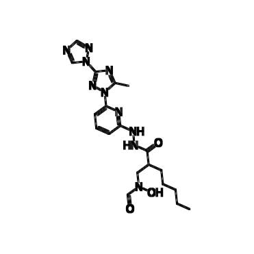 CCCCCC(CN(O)C=O)C(=O)NNc1cccc(-n2nc(-n3cncn3)nc2C)n1